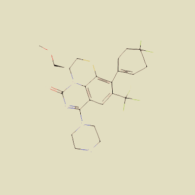 COC[C@H]1CSc2c(C3=CCC(F)(F)CC3)c(C(F)(F)F)cc3c(N4C[C@@H](C)N[C@@H](C)C4)nc(=O)n1c23